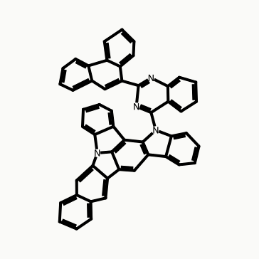 c1ccc2cc3c(cc2c1)c1cc2c4ccccc4n(-c4nc(-c5cc6ccccc6c6ccccc56)nc5ccccc45)c2c2c4ccccc4n3c12